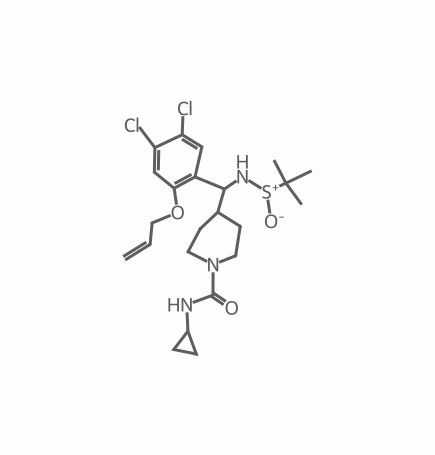 C=CCOc1cc(Cl)c(Cl)cc1C(N[S+]([O-])C(C)(C)C)C1CCN(C(=O)NC2CC2)CC1